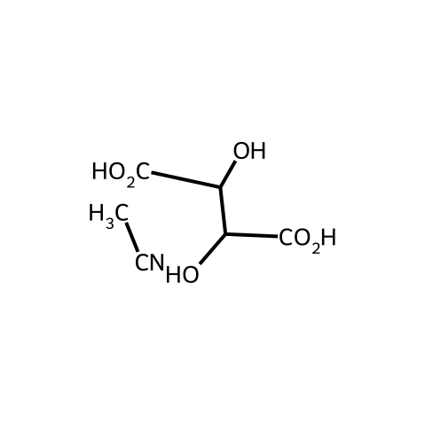 CC#N.O=C(O)C(O)C(O)C(=O)O